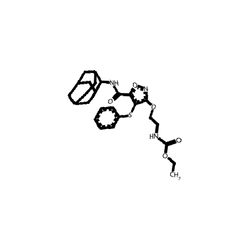 CCOC(=O)NCCOc1noc(C(=O)NC2C3CC4CC(C3)CC2C4)c1Sc1ccccc1